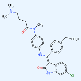 CN(C)CCCC(=O)N(C)c1ccc(N/C(=C2\C(=O)Nc3cc(Cl)ccc32)c2ccc(CC(=O)O)cc2)cc1